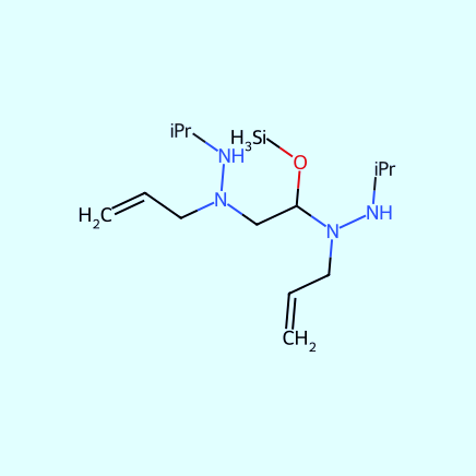 C=CCN(CC(O[SiH3])N(CC=C)NC(C)C)NC(C)C